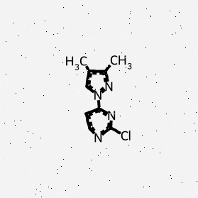 Cc1cn(-c2ccnc(Cl)n2)nc1C